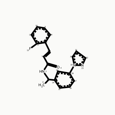 CC(NC(=O)C=Cc1ccccc1F)c1cccc(-n2cccn2)c1